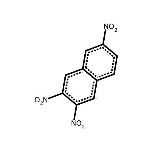 O=[N+]([O-])c1ccc2[c]c([N+](=O)[O-])c([N+](=O)[O-])cc2c1